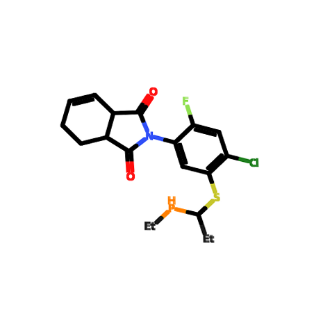 CCPC(CC)Sc1cc(N2C(=O)C3C=CCCC3C2=O)c(F)cc1Cl